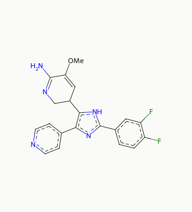 COC1=CC(c2[nH]c(-c3ccc(F)c(F)c3)nc2-c2ccncc2)CN=C1N